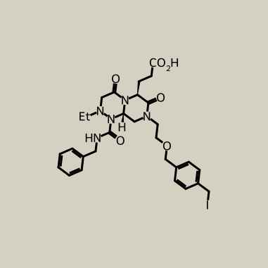 CCN1CC(=O)N2[C@@H](CCC(=O)O)C(=O)N(CCOCc3ccc(CI)cc3)C[C@@H]2N1C(=O)NCc1ccccc1